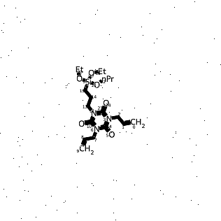 C=CCn1c(=O)n(CC=C)c(=O)n(CCC[Si](OCC)(OCC)OCCC)c1=O